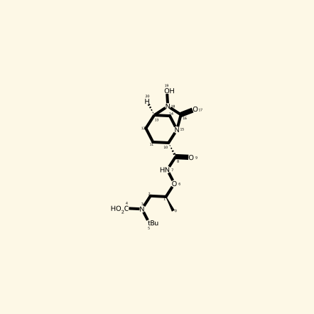 C[C@@H](CN(C(=O)O)C(C)(C)C)ONC(=O)[C@@H]1CC[C@@H]2CN1C(=O)N2O